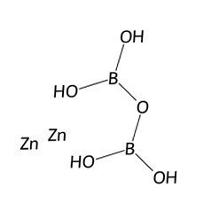 OB(O)OB(O)O.[Zn].[Zn]